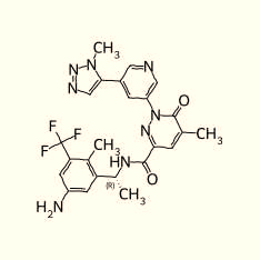 Cc1c([C@@H](C)NC(=O)c2cc(C)c(=O)n(-c3cncc(-c4cnnn4C)c3)n2)cc(N)cc1C(F)(F)F